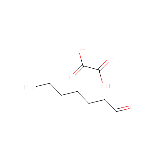 CCCCCCC=O.O=C(O)C(=O)O